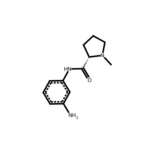 CN1CCC[C@H]1C(=O)Nc1cccc(N)c1